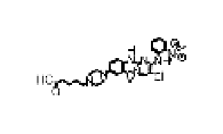 COc1cc(N2CCN(CCCCC(=O)O)CC2)ccc1Nc1ncc(Cl)c(Nc2ccccc2N(C)S(C)(=O)=O)n1